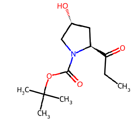 CCC(=O)[C@@H]1C[C@@H](O)CN1C(=O)OC(C)(C)C